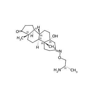 C[C@H](N)CON=C1CC[C@]2(C)[C@H]3CC[C@]4(C)C(=O)CC[C@H]4[C@@H]3CC[C@@]2(O)C1